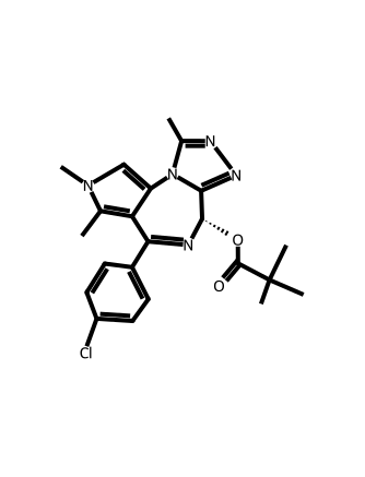 Cc1c2c(cn1C)-n1c(C)nnc1[C@H](OC(=O)C(C)(C)C)N=C2c1ccc(Cl)cc1